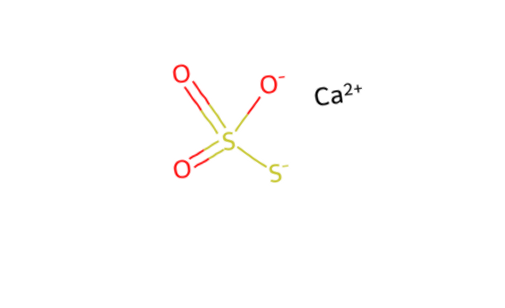 O=S(=O)([O-])[S-].[Ca+2]